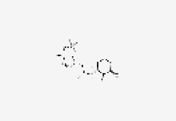 C[C@H](C[C@@H]1C=C[C@](C)(O[Si](C)(C)C)C1)[C@H]1CCC2C(=O)CCC[C@@]21C